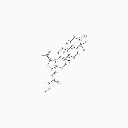 C=C(C)[C@@H]1CC[C@]2(/C=C/C(=O)OCC)CC[C@]3(C)C(CCC4[C@@]5(C)CC[C@H](O)C(C)(C)C5CC[C@]43C)C12